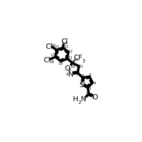 NC(=O)c1ccc(C2=NO[C@@](c3cc(Cl)c(Cl)c(Cl)c3)(C(F)(F)F)C2)s1